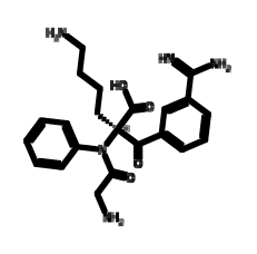 N=C(N)c1cccc(C(=O)[C@](CCCCN)(C(=O)O)N(C(=O)CN)c2ccccc2)c1